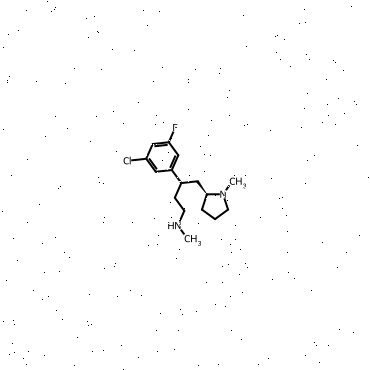 CNCCC(C[C@@H]1CCCN1C)c1cc(F)cc(Cl)c1